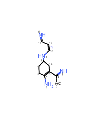 CC(=O)C(=N)C1=C(N)CCC(N/C=C\C=N)C1